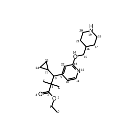 CCOC(=O)C(C)(C)C(c1ccnc(OCC2CCNCC2)c1)C1CC1